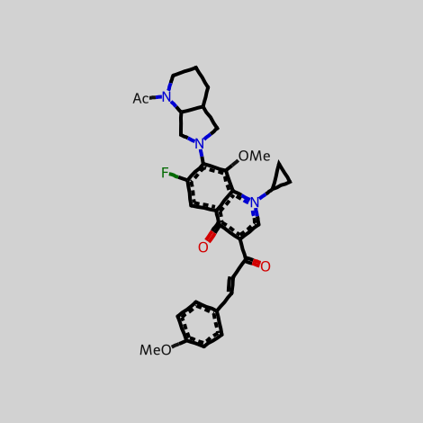 COc1ccc(C=CC(=O)c2cn(C3CC3)c3c(OC)c(N4CC5CCCN(C(C)=O)C5C4)c(F)cc3c2=O)cc1